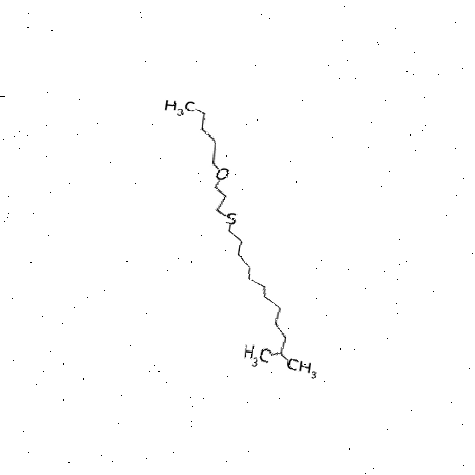 CCCCCOCCCSCCCCCCCCCCC(C)C